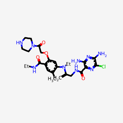 C=C(CNC(=O)c1nc(Cl)c(N)nc1N)N(CC)c1cc(OCC(=O)N2CCNCC2)c(C(=O)NCC)cc1C